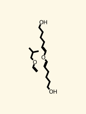 C=COCC(C)C.OCCCCC=COC=CCCCCO